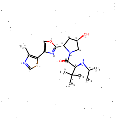 Cc1ncsc1-c1coc([C@@H]2C[C@@H](O)CN2C(=O)[C@@H](NC(C)C)C(C)(C)C)n1